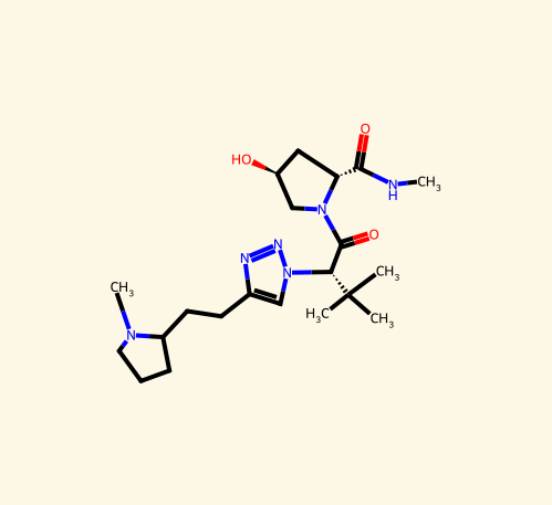 CNC(=O)[C@H]1C[C@H](O)CN1C(=O)[C@@H](n1cc(CCC2CCCN2C)nn1)C(C)(C)C